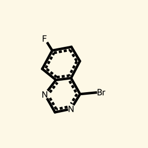 Fc1ccc2c(Br)ncnc2c1